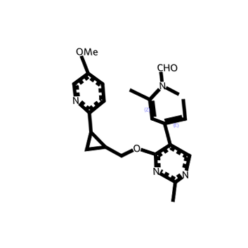 C/C=C(\C=C(\C)N(C)C=O)c1cnc(C)nc1OCC1CC1c1ccc(OC)cn1